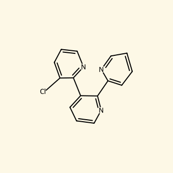 Clc1cccnc1-c1cccnc1-c1ccccn1